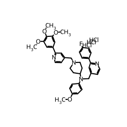 COc1ccc(N(Cc2ccnc(-c3ccc(F)cc3)c2)C2CCN(Cc3ccnc(-c4cc(OC)c(OC)c(OC)c4)c3)CC2)cc1.Cl.Cl.Cl